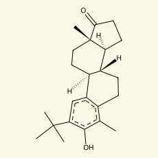 Cc1c(O)c(C(C)(C)C)cc2c1CC[C@@H]1[C@@H]2CC[C@]2(C)C(=O)CC[C@@H]12